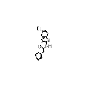 CCc1ccc2nc(NC(=O)Cc3ccccc3)sc2c1